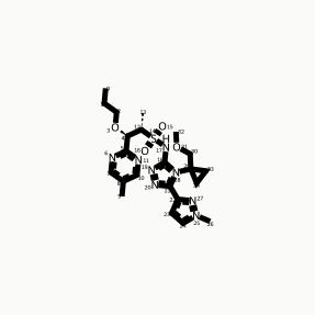 CCCO[C@@H](c1ncc(C)cn1)[C@H](C)S(=O)(=O)Nc1nnc(-c2ccn(C)n2)n1C1(COC)CC1